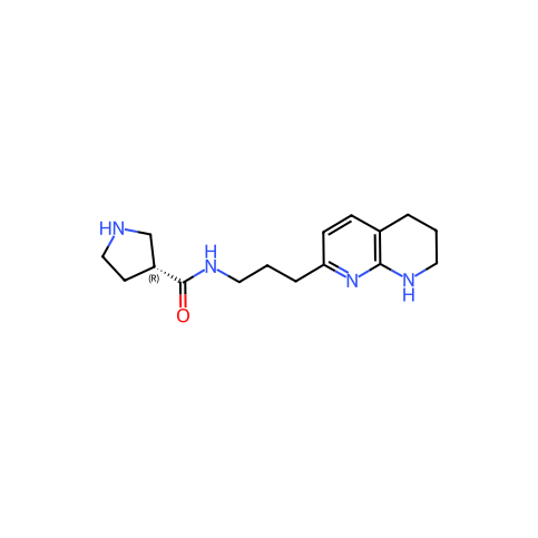 O=C(NCCCc1ccc2c(n1)NCCC2)[C@@H]1CCNC1